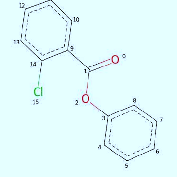 O=C(Oc1ccccc1)c1ccccc1Cl